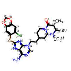 C[C@H](C(=O)N1CCC(CCn2cnc(N)c3nc(Sc4cc5c(cc4Br)OCO5)nc2-3)CC1)C(NC(=O)O)C(C)(C)C